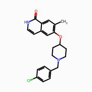 Cc1cc2c(=O)[nH]ccc2cc1OC1CCN(Cc2ccc(Cl)cc2)CC1